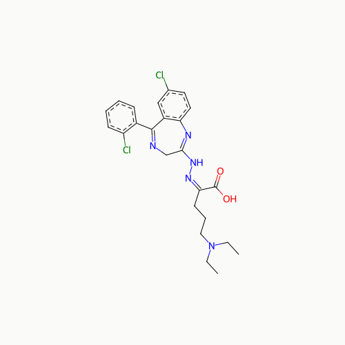 CCN(CC)CCCC(=NNC1=Nc2ccc(Cl)cc2C(c2ccccc2Cl)=NC1)C(=O)O